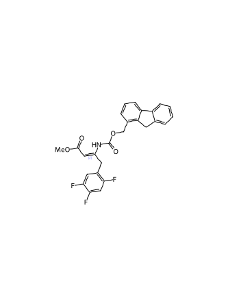 COC(=O)/C=C(/Cc1cc(F)c(F)cc1F)NC(=O)OCc1cccc2c1Cc1ccccc1-2